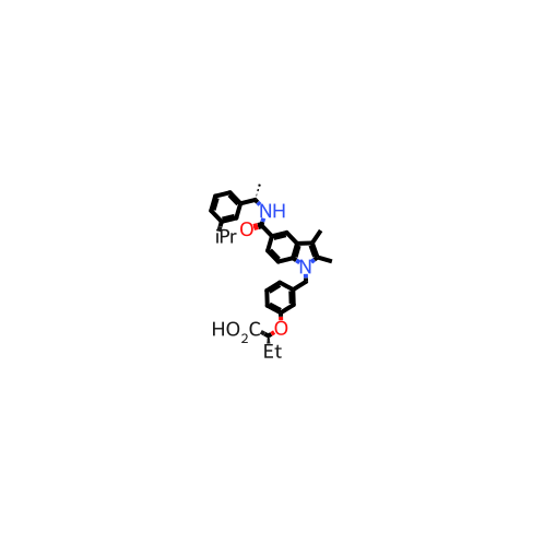 CC[C@H](Oc1cccc(Cn2c(C)c(C)c3cc(C(=O)N[C@@H](C)c4cccc(C(C)C)c4)ccc32)c1)C(=O)O